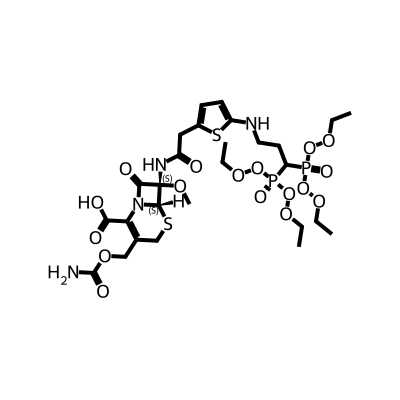 CCOOP(=O)(OOCC)C(CCNc1ccc(CC(=O)N[C@]2(OC)C(=O)N3C(C(=O)O)=C(COC(N)=O)CS[C@H]32)s1)P(=O)(OOCC)OOCC